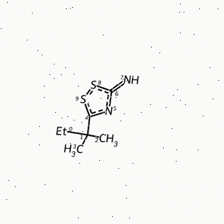 CCC(C)(C)c1nc(=N)ss1